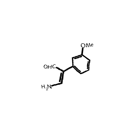 COc1cccc(C(C=O)=CN)c1